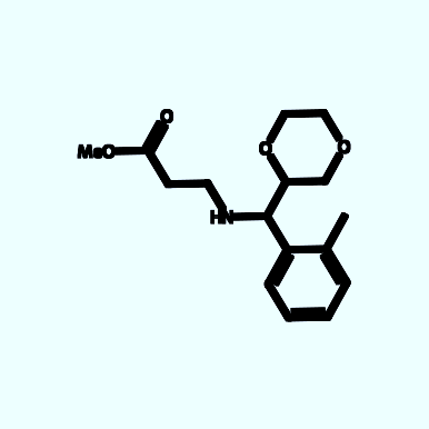 COC(=O)CCNC(c1ccccc1C)C1COCCO1